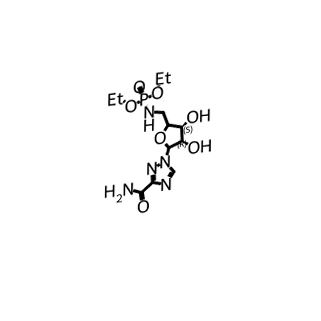 CCOP(=O)(NCC1OC(n2cnc(C(N)=O)n2)[C@H](O)[C@@H]1O)OCC